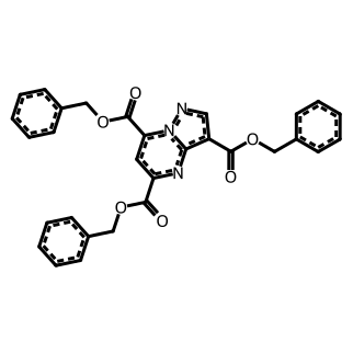 O=C(OCc1ccccc1)c1cc(C(=O)OCc2ccccc2)n2ncc(C(=O)OCc3ccccc3)c2n1